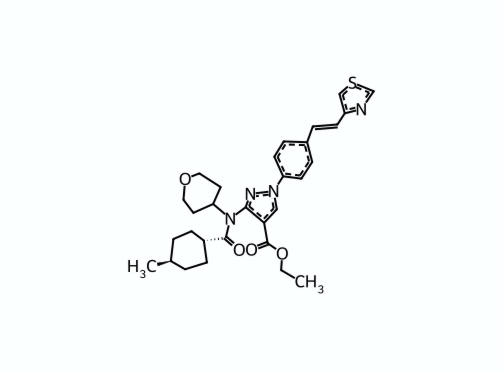 CCOC(=O)c1cn(-c2ccc(C=Cc3cscn3)cc2)nc1N(C(=O)[C@H]1CC[C@H](C)CC1)C1CCOCC1